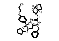 O=C(N[C@@H](Cc1ccccc1)[C@H](O)CN(OC1CCCC1)S(=O)(=O)c1ccc(OCCO)cc1)O[C@H]1CO[C@H]2OCC[C@H]21